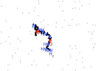 C#CCOc1cc2nn(C)cc2cc1NC(=O)c1cnc(N2CC(CN3CC(OCC(=O)NCCC4(CCN)NN4)C3)C2)cn1